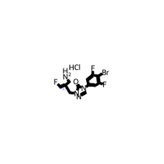 Cl.NC/C(=C\F)Cn1ncn(-c2cc(F)c(Br)c(F)c2)c1=O